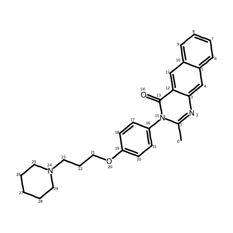 Cc1nc2cc3ccccc3cc2c(=O)n1-c1ccc(OCCCN2CCCCC2)cc1